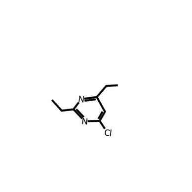 CCc1cc(Cl)nc(CC)n1